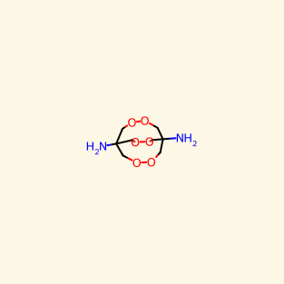 NC12COOCC(N)(COOC1)COOC2